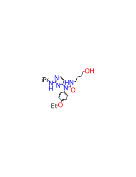 CCOc1ccc(N(C(=O)NCCCCO)c2ccnc(NC(C)C)n2)cc1